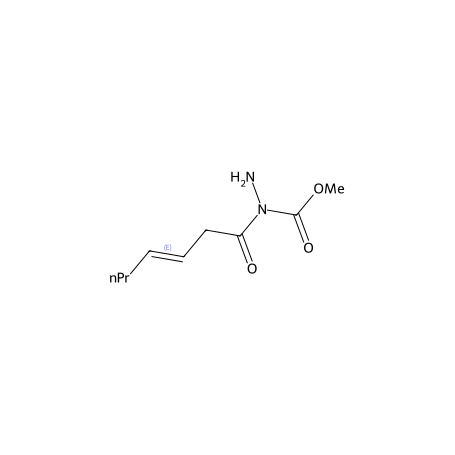 CCC/C=C/CC(=O)N(N)C(=O)OC